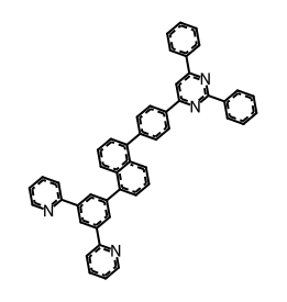 c1ccc(-c2cc(-c3ccc(-c4cccc5c(-c6cc(-c7ccccn7)cc(-c7ccccn7)c6)cccc45)cc3)nc(-c3ccccc3)n2)cc1